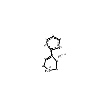 C1=C(c2ncccn2)CCNC1.Cl